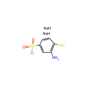 Nc1cc(S(=O)(=O)Cl)ccc1S.[NaH].[NaH]